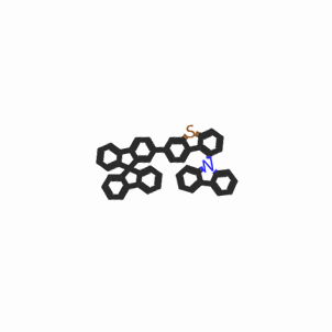 c1ccc2c(c1)-c1ccccc1C21c2ccccc2-c2ccc(-c3ccc4c(c3)sc3cccc(-n5c6ccccc6c6ccccc65)c34)cc21